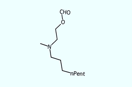 CCCCCCCCN(C)CCOC=O